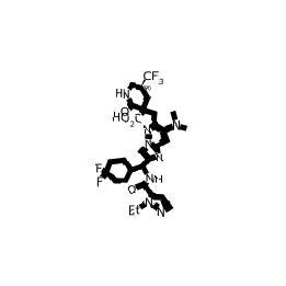 CCn1nccc1C(=O)NC(c1cn2nc(CC3(C(=O)O)C[C@@H](C(F)(F)F)CNC3=O)c(N(C)C)cc2n1)C1CCC(F)(F)CC1